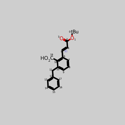 CC(C)(C)OC(=O)/C=C/c1cccc(Cc2ccccc2)c1C(=O)O